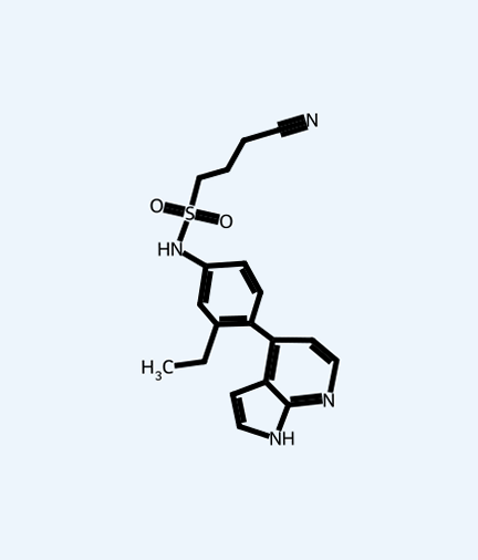 CCc1cc(NS(=O)(=O)CCCC#N)ccc1-c1ccnc2[nH]ccc12